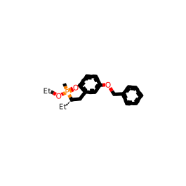 CCOP(C)(=O)[C@@H](CC)Cc1cccc(OCc2ccccc2)c1